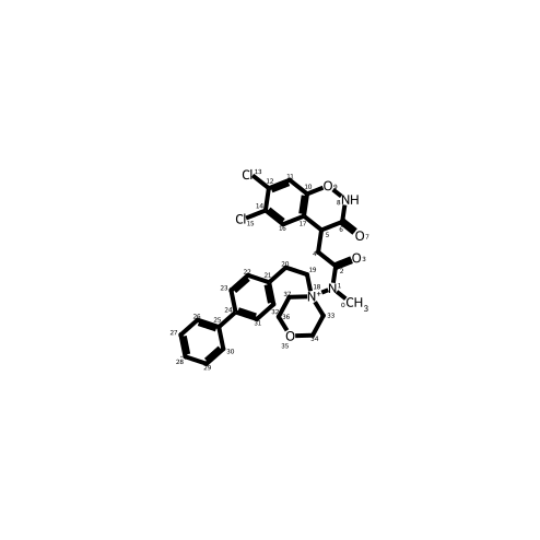 CN(C(=O)CC1C(=O)NOc2cc(Cl)c(Cl)cc21)[N+]1(CCc2ccc(-c3cc[c]cc3)cc2)CCOCC1